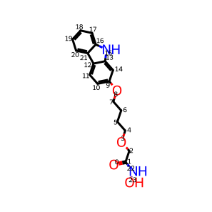 O=C(COCCCCOc1ccc2c(c1)[nH]c1ccccc12)NO